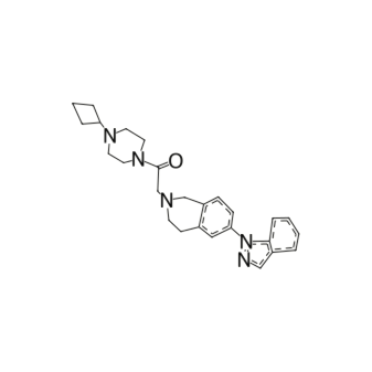 O=C(CN1CCc2cc(-n3ncc4ccccc43)ccc2C1)N1CCN(C2CCC2)CC1